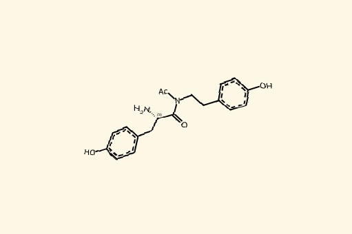 CC(=O)N(CCc1ccc(O)cc1)C(=O)[C@@H](N)Cc1ccc(O)cc1